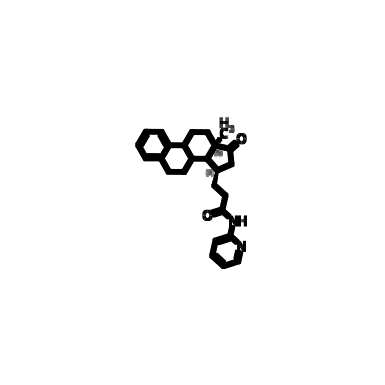 C[C@]12CCC3c4ccccc4CCC3C1[C@H](CCC(=O)Nc1ccccn1)CC2=O